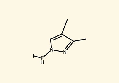 Cc1cn(PI)nc1C